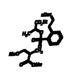 CCCCCCCCCCCCc1ccccc1S(=O)(=O)OC(C)C(=O)OCC.COCC(C)C(=O)OC